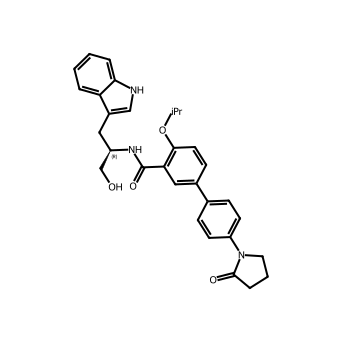 CC(C)Oc1ccc(-c2ccc(N3CCCC3=O)cc2)cc1C(=O)N[C@@H](CO)Cc1c[nH]c2ccccc12